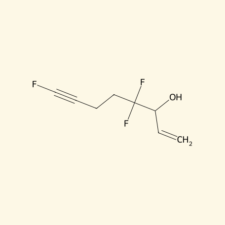 C=CC(O)C(F)(F)CCC#CF